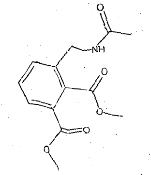 COC(=O)c1cccc(CNC(C)=O)c1C(=O)OC